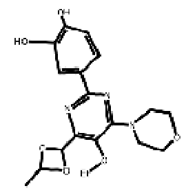 CCOc1c(C2OC(C)O2)nc(-c2ccc(O)c(O)c2)nc1N1CCOCC1